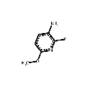 COc1ccc(N)c(F)n1